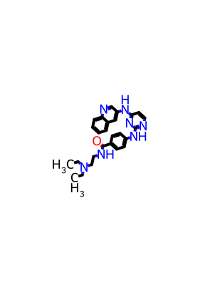 CCN(CC)CCNC(=O)c1ccc(Nc2nccc(Nc3cnc4ccccc4c3)n2)cc1